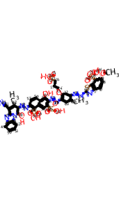 COc1ccc2nc(N=Nc3cc(OCCCS(=O)(=O)O)c(N=Nc4c(S(=O)(=O)O)cc5c(S(=O)(=O)O)c(N=Nc6c(C)c(C#N)c7nc8ccccc8n7c6O)ccc5c4O)cc3C)sc2c1S(=O)(=O)O